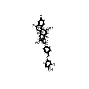 C[C@]12C=CC(=O)C=C1[C@@H](F)C[C@H]1[C@@H]3C[C@H]4O[C@@H](c5ccc(CSc6ccc(O)c(Cl)c6)cc5)O[C@@]4(C(=O)CO)[C@@]3(C)C[C@H](O)C12F